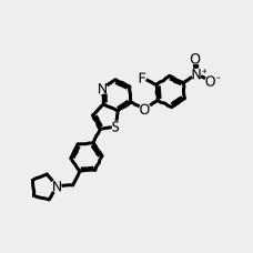 O=[N+]([O-])c1ccc(Oc2ccnc3cc(-c4ccc(CN5CCCC5)cc4)sc23)c(F)c1